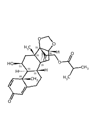 CC(C)C(=O)OCC(=O)[C@@]12OCO[C@@H]1C[C@H]1[C@@H]3CCC4=CC(=O)C=C[C@]4(C)[C@H]3[C@@H](O)C[C@@]12C